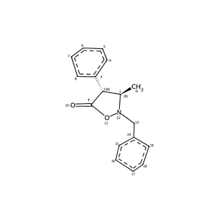 C[C@@H]1[C@@H](c2ccccc2)C(=O)ON1Cc1ccccc1